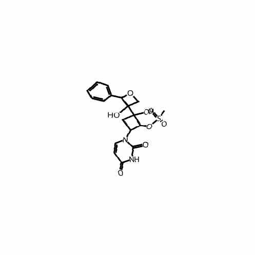 CS(=O)(=O)OC1C(n2ccc(=O)[nH]c2=O)CC1(O)C1(O)COC1c1ccccc1